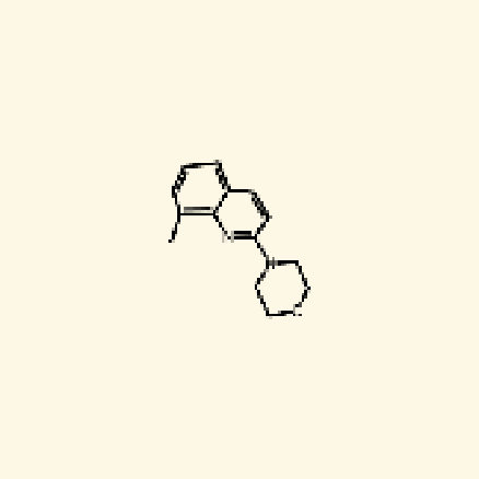 Cc1cccc2ccc(N3CCOCC3)nc12